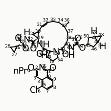 CCCOc1cc2c(Cl)cccc2c(O[C@@H]2C[C@H]3C(=O)N[C@]4(C(=O)NS(=O)(=O)C5CC5)CC4/C=C\CC[C@@H](C)C[C@@H](C)[C@H](NC(=O)OC4C[C@@H]5C[C@@H]5C4)C(=O)N3C2)n1